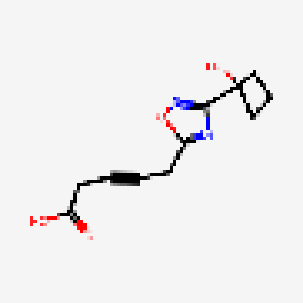 O=C(O)CC#CCc1nc(C2(O)CCC2)no1